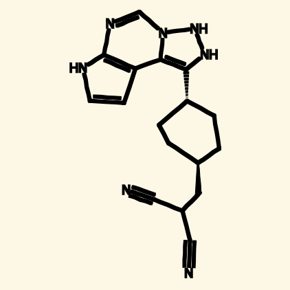 N#CC(C#N)C[C@H]1CC[C@H](C2=C3c4cc[nH]c4N=CN3NN2)CC1